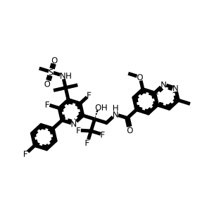 COc1cc(C(=O)NC[C@](O)(c2nc(-c3ccc(F)cc3)c(F)c(C(C)(C)NS(C)(=O)=O)c2F)C(F)(F)F)cc2cc(C)nnc12